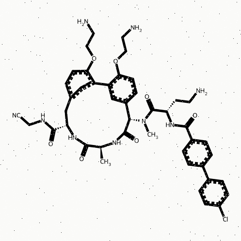 C[C@@H]1NC(=O)[C@@H](N(C)C(=O)[C@H](CCN)NC(=O)c2ccc(-c3ccc(Cl)cc3)cc2)c2ccc(OCCN)c(c2)-c2cc(ccc2OCCN)C[C@@H](C(=O)NCC#N)NC1=O